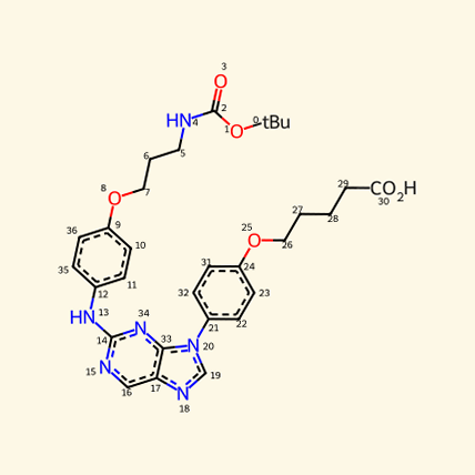 CC(C)(C)OC(=O)NCCCOc1ccc(Nc2ncc3ncn(-c4ccc(OCCCCC(=O)O)cc4)c3n2)cc1